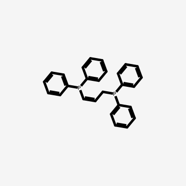 C(=C/P(c1ccccc1)c1ccccc1)/CP(c1ccccc1)c1ccccc1